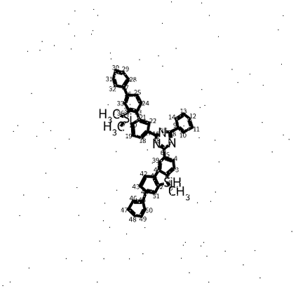 C[SiH]1c2ccc(-c3nc(-c4ccccc4)nc(-c4ccc5c(c4)-c4ccc(-c6ccccc6)cc4[Si]5(C)C)n3)cc2-c2ccc(-c3ccccc3)cc21